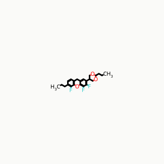 CCCc1ccc2c(c1F)Oc1c(cc(C3COC(CCC)OC3)c(F)c1F)C2